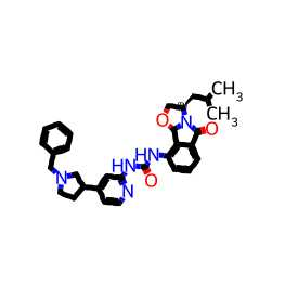 CC(C)C[C@@H]1COC2c3c(NC(=O)Nc4cc(C5CCN(Cc6ccccc6)C5)ccn4)cccc3C(=O)N21